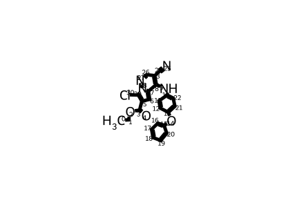 CCOC(=O)c1cc2c(Nc3ccc(Oc4ccccc4)cc3)c(C#N)cnn2c1Cl